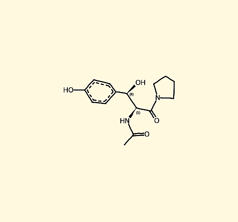 CC(=O)N[C@H](C(=O)N1CCCC1)[C@H](O)c1ccc(O)cc1